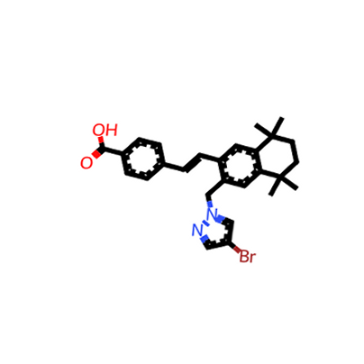 CC1(C)CCC(C)(C)c2cc(Cn3cc(Br)cn3)c(/C=C/c3ccc(C(=O)O)cc3)cc21